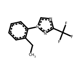 CCc1ccccc1-n1cnc(C(F)(F)F)n1